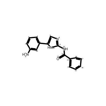 Nc1cccc(-c2cnc(NC(=O)c3ccccc3)[nH]2)c1